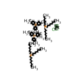 CCCCCCCCP(CCCCCCCC)CCCCCCCC.CCCCCCCCP(CCCCCCCC)CCCCCCCC.Cc1ccc(P(c2ccc(C)cc2)c2ccc(C)cc2)cc1.Cc1ccc(P(c2ccc(C)cc2)c2ccc(C)cc2)cc1.[Cl][Pt][Cl].[Cl][Pt][Cl]